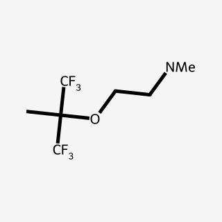 CNCCOC(C)(C(F)(F)F)C(F)(F)F